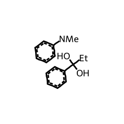 CCC(O)(O)c1ccccc1.CNc1ccccc1